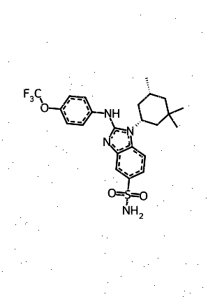 C[C@H]1C[C@@H](n2c(Nc3ccc(OC(F)(F)F)cc3)nc3cc(S(N)(=O)=O)ccc32)CC(C)(C)C1